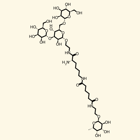 C[C@@H]1O[C@@H](OCCNC(=O)CCCCC(=O)NCCCC[C@H](N)C(=O)NCCO[C@H]2O[C@H](CO[C@H]3O[C@H](CO)[C@@H](O)[C@H](O)[C@@H]3O)[C@@H](O)[C@H](O[C@H]3O[C@H](CO)[C@@H](O)[C@H](O)[C@@H]3O)[C@@H]2O)[C@@H](O)[C@H](O)[C@@H]1O